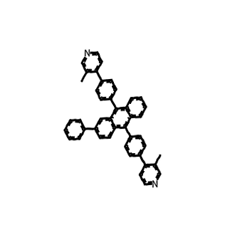 Cc1cnccc1-c1ccc(-c2c3ccccc3c(-c3ccc(-c4ccncc4C)cc3)c3cc(-c4ccccc4)ccc23)cc1